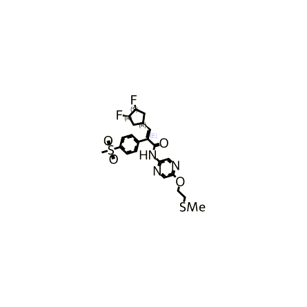 CSCCOc1cnc(NC(=O)/C(=C/[C@H]2C[C@@H](F)[C@@H](F)C2)c2ccc(S(C)(=O)=O)cc2)cn1